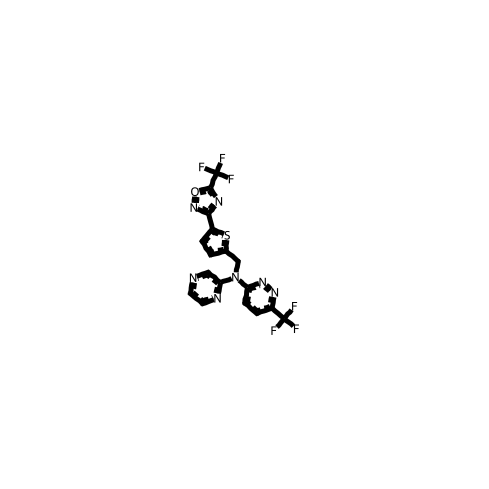 FC(F)(F)c1ccc(N(Cc2ccc(-c3noc(C(F)(F)F)n3)s2)c2cnccn2)nn1